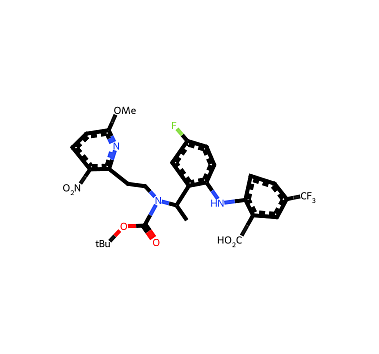 COc1ccc([N+](=O)[O-])c(CCN(C(=O)OC(C)(C)C)C(C)c2cc(F)ccc2Nc2ccc(C(F)(F)F)cc2C(=O)O)n1